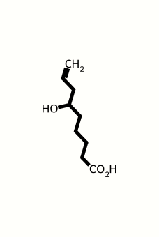 C=CCC(O)CCCCC(=O)O